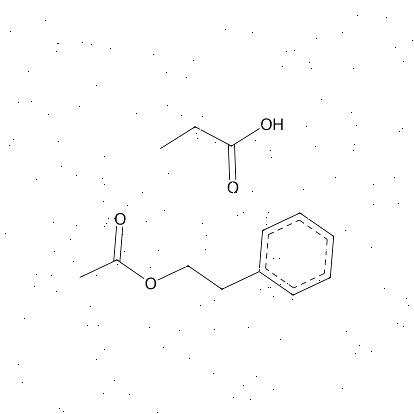 CC(=O)OCCc1ccccc1.CCC(=O)O